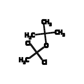 CC(C)(C)OC(C)(Cl)Cl